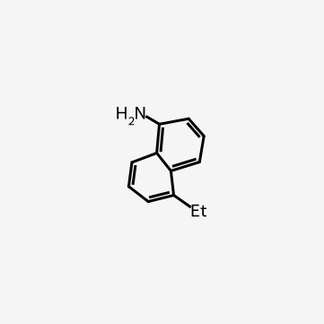 CCc1cccc2c(N)cccc12